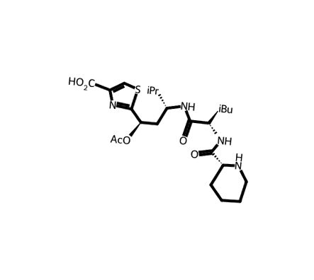 CC[C@H](C)[C@H](NC(=O)[C@H]1CCCCN1)C(=O)N[C@H](C[C@@H](OC(C)=O)c1nc(C(=O)O)cs1)C(C)C